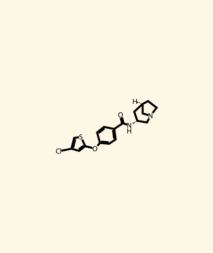 O=C(N[C@@H]1C[C@H]2CCN(C2)C1)c1ccc(Oc2cc(Cl)cs2)cc1